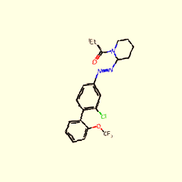 CCC(=O)N1CCCCC1/N=N/c1ccc(-c2ccccc2OC(F)(F)F)c(Cl)c1